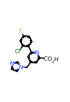 O=C(O)c1cc(Cn2ccnc2)cc(-c2ccc(F)cc2Cl)n1